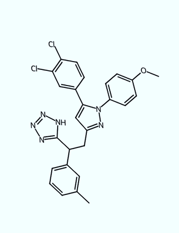 COc1ccc(-n2nc(CC(c3cccc(C)c3)c3nnn[nH]3)cc2-c2ccc(Cl)c(Cl)c2)cc1